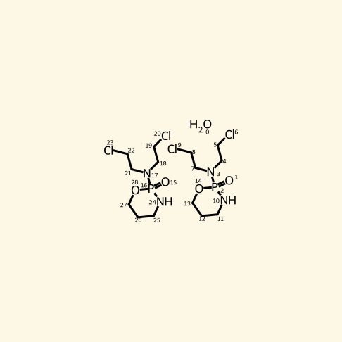 O.O=P1(N(CCCl)CCCl)NCCCO1.O=P1(N(CCCl)CCCl)NCCCO1